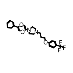 FC(F)(F)c1ccc(OCCCN2CCN(C3=COC(C4=CC=CCC4)=CO3)CC2)cc1